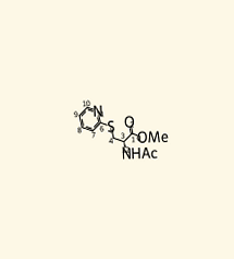 COC(=O)[C@H](CSc1ccccn1)NC(C)=O